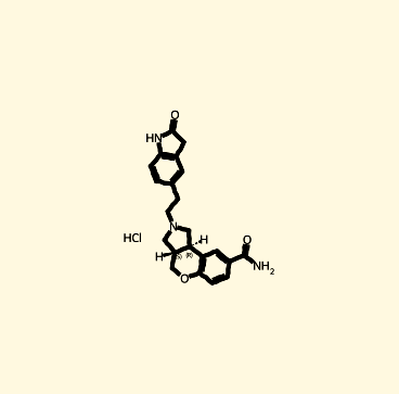 Cl.NC(=O)c1ccc2c(c1)[C@@H]1CN(CCc3ccc4c(c3)CC(=O)N4)C[C@H]1CO2